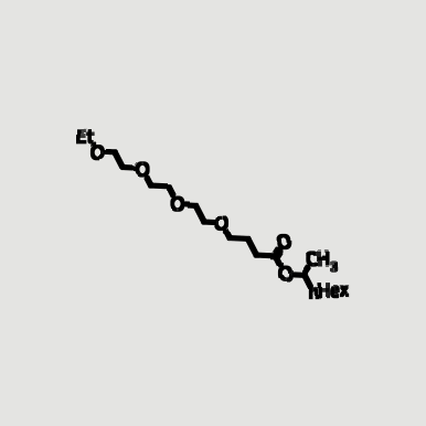 CCCCCCC(C)OC(=O)CCCOCCOCCOCCOCC